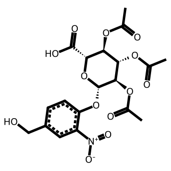 CC(=O)O[C@@H]1[C@@H](OC(C)=O)[C@H](Oc2ccc(CO)cc2[N+](=O)[O-])O[C@H](C(=O)O)[C@H]1OC(C)=O